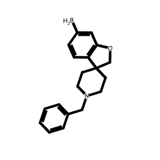 Bc1ccc2c(c1)OCC21CCN(Cc2ccccc2)CC1